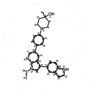 CC1(O)CCN(c2ccc(-c3cnc4c(c3)c(-c3ccc5[nH]ccc5c3)cn4SI)cc2)CC1